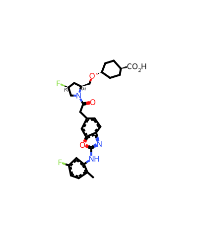 Cc1ccc(F)cc1Nc1nc2ccc(CC(=O)N3C[C@@H](F)C[C@H]3CO[C@H]3CC[C@H](C(=O)O)CC3)cc2o1